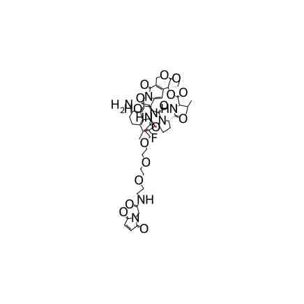 CC[C@@]1(OC(=O)[C@@H](NC(=O)[C@@H]2CCCN2C(=O)[C@H](CC(=O)O)NC(=O)CCOCCOCCOCCNC(=O)CN2C(=O)C=CC2=O)C(C)C)C(=O)OCc2c1cc1n(c2=O)Cc2c-1nc1cc(F)c(C)c3c1c2[C@@H](N)CC3